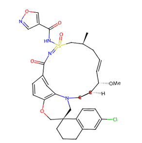 CO[C@H]1/C=C/C[C@H](C)CS(=O)(NC(=O)c2cnoc2)=NC(=O)c2ccc3c(c2)N(C[C@@]2(CCCc4cc(Cl)ccc42)CO3)C2CC[C@H]21